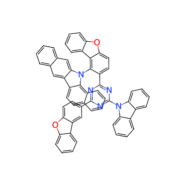 c1ccc2cc3c(cc2c1)c1ccc2ccccc2c1n3-c1c(-c2nc(-c3ccc4oc5ccccc5c4c3)nc(-n3c4ccccc4c4ccccc43)n2)ccc2oc3ccccc3c12